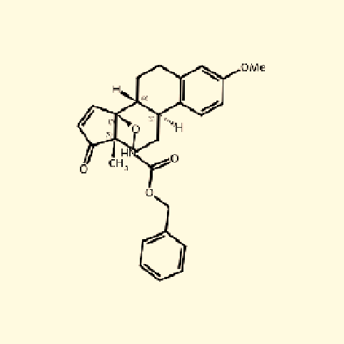 COc1ccc2c(c1)CC[C@@H]1[C@@H]2CC[C@]2(C)C(=O)C=C[C@]12ONC(=O)OCc1ccccc1